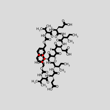 CC[C@H](C)[C@H](NC(=O)[C@H](CCC(=O)O)NC(=O)[C@@H](NC(=O)OCc1ccccc1)C(C)C)C(=O)N[C@@H](CC(=O)O)C(=O)C(F)C(=O)C(F)C(=O)[C@H](CC(=O)O)NC(=O)[C@@H](NC(=O)[C@H](CCC(=O)O)NC(=O)[C@@H](NC(=O)OCc1ccccc1)C(C)C)[C@@H](C)CC